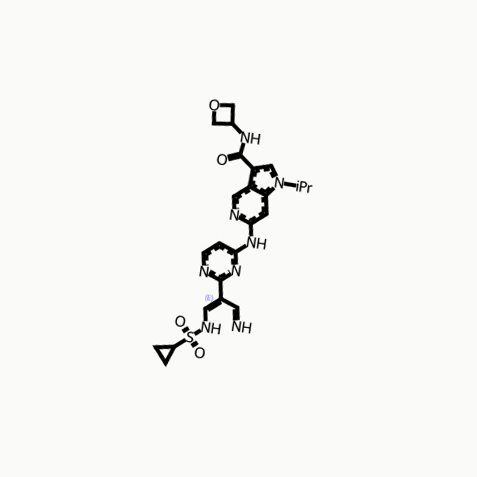 CC(C)n1cc(C(=O)NC2COC2)c2cnc(Nc3ccnc(/C(C=N)=C/NS(=O)(=O)C4CC4)n3)cc21